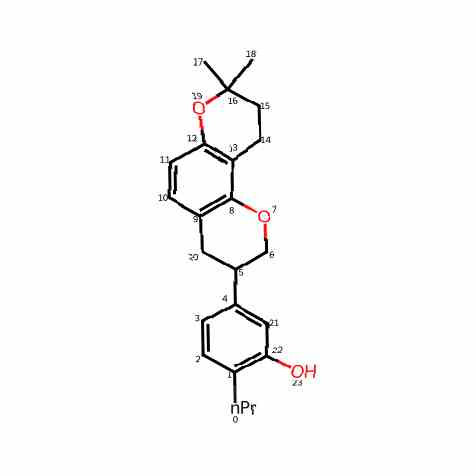 CCCc1ccc(C2COc3c(ccc4c3CCC(C)(C)O4)C2)cc1O